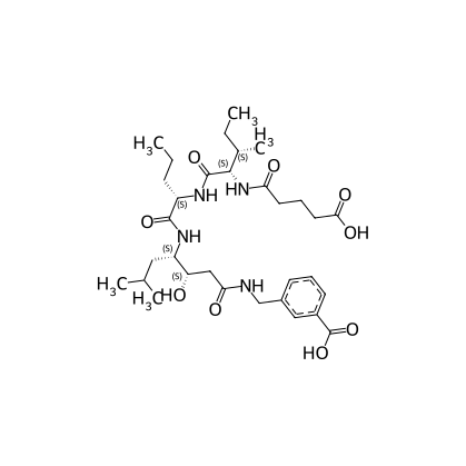 CCC[C@H](NC(=O)[C@@H](NC(=O)CCCC(=O)O)[C@@H](C)CC)C(=O)N[C@@H](CC(C)C)[C@@H](O)CC(=O)NCc1cccc(C(=O)O)c1